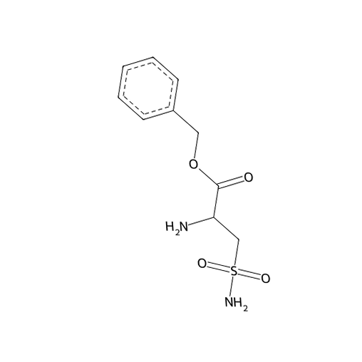 NC(CS(N)(=O)=O)C(=O)OCc1ccccc1